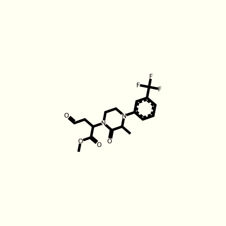 COC(=O)C(CC=O)N1CCN(c2cccc(C(F)(F)F)c2)C(C)C1=O